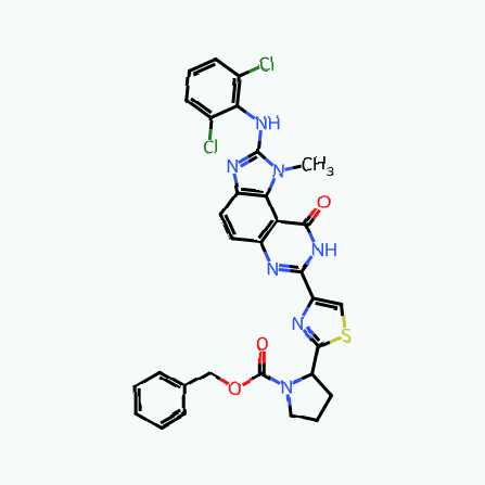 Cn1c(Nc2c(Cl)cccc2Cl)nc2ccc3nc(-c4csc(C5CCCN5C(=O)OCc5ccccc5)n4)[nH]c(=O)c3c21